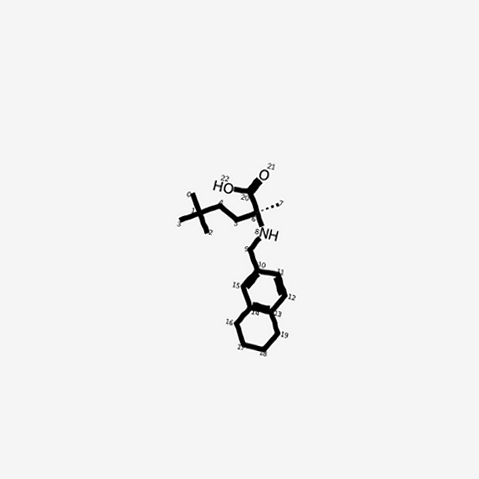 CC(C)(C)CC[C@](C)(NCc1ccc2c(c1)CCCC2)C(=O)O